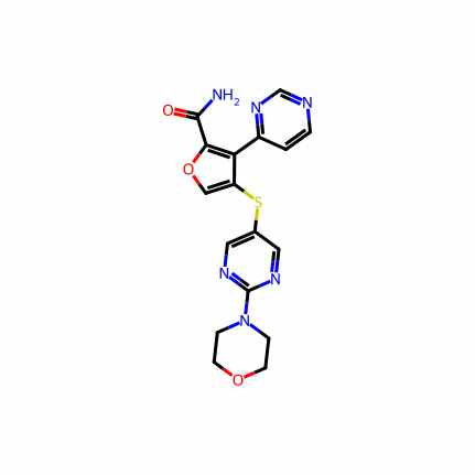 NC(=O)c1occ(Sc2cnc(N3CCOCC3)nc2)c1-c1ccncn1